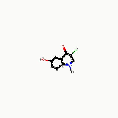 CC(C)n1cc(Br)c(=O)c2cc(O)ccc21